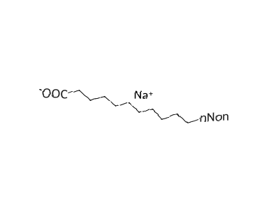 CCCCCCCCCCCCCCCCCCCC(=O)[O-].[Na+]